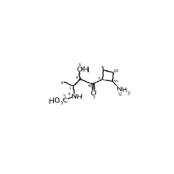 CC(NC(=O)O)C(O)C(=O)C1CCC1N